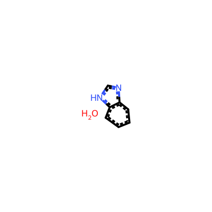 O.c1ccc2[nH]cnc2c1